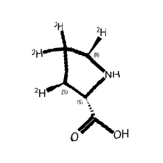 [2H][C@@H]1[C@@H](C(=O)O)N[C@H]([2H])C1([2H])[2H]